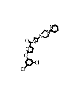 O=C(c1ccc(Oc2cc(Cl)cc(Cl)c2)o1)N1CC(N2CCN(c3ccccn3)CC2)C1